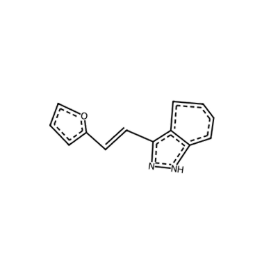 C(=Cc1n[nH]c2ccccc12)c1ccco1